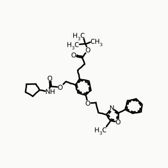 Cc1oc(-c2ccccc2)nc1CCOc1ccc(CCC(=O)OC(C)(C)C)c(COC(=O)NC2CCCC2)c1